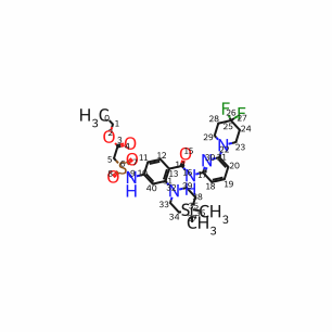 CCOC(=O)CS(=O)(=O)Nc1ccc(C(=O)Nc2cccc(N3CCC(F)(F)CC3)n2)c(N2CC[Si](C)(C)CC2)c1